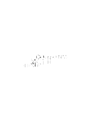 CCCC(C(=O)NC=O)N1Cc2c(NC(=O)CCNCCOCCNC)cccc2C1=O